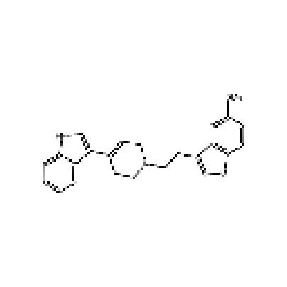 COc1ccc2occ(CCN3CC=C(c4c[nH]c5ccccc45)CC3)c2c1